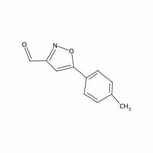 Cc1ccc(-c2cc(C=O)no2)cc1